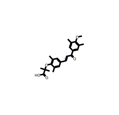 COc1c(C)cc(C(=O)/C=C/c2cc(C)c(OC(C)(C)C(=O)O)c(C)c2)cc1C